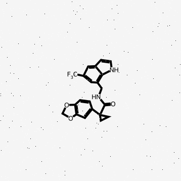 O=C(NCc1cc(C(F)(F)F)cc2cc[nH]c12)C1(c2ccc3c(c2)OCO3)CC1